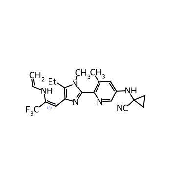 C=CN/C(=C\c1nc(-c2ncc(NC3(C#N)CC3)cc2C)n(C)c1CC)C(F)(F)F